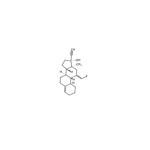 C#C[C@]1(O)CC[C@H]2[C@@H]3CCC4=CCCC[C@@H]4[C@H]3/C(=C/F)C[C@@]21C